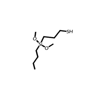 CCCC[Si](CCCS)(OC)OC